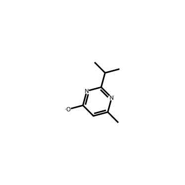 Cc1cc([O])nc(C(C)C)n1